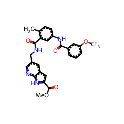 COC(=O)c1cc2cc(CNC(=O)c3cc(NC(=O)c4cccc(OC(F)(F)F)c4)ccc3C)cnc2[nH]1